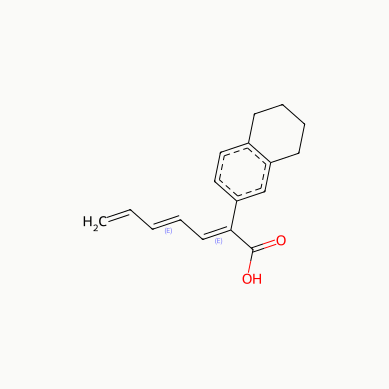 C=C/C=C/C=C(/C(=O)O)c1ccc2c(c1)CCCC2